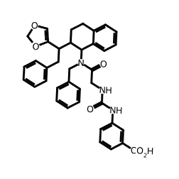 O=C(NCC(=O)N(Cc1ccccc1)C1c2ccccc2CCC1C(Cc1ccccc1)C1=COCO1)Nc1cccc(C(=O)O)c1